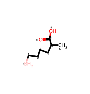 BCCCCC(C)C(=O)O